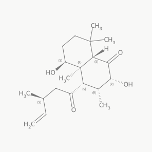 C=C[C@@H](C)CC(=O)[C@H]1[C@@H](C)[C@@H](O)C(=O)[C@H]2C(C)(C)CC[C@H](O)[C@]12C